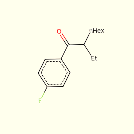 CCCCCCC(CC)C(=O)c1ccc(F)cc1